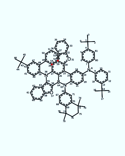 CC(C)(C)c1ccc(N(c2cccc(C(C)(C)C)c2)c2ccc3c(c2)-c2c4c(cc5c2oc2ccccc25)N(c2ccc(C(C)(C)C)cc2-c2ccccc2)c2c(oc5ccccc25)B4N3c2ccc3c(c2)C(C)(C)CCC3(C)C)cc1